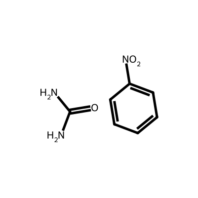 NC(N)=O.O=[N+]([O-])c1ccccc1